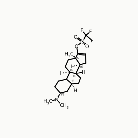 CN(C)[C@H]1CCC2[C@@H](CC[C@@H]3[C@@H]2CC[C@]2(C)C(OS(=O)(=O)C(F)(F)F)=CC[C@@H]32)C1